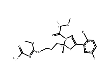 CN/C(=N\C(N)=O)NCCC[C@@]1(C)SC(c2cc(F)ccc2F)=NN1C(=O)[C@H](C)OC